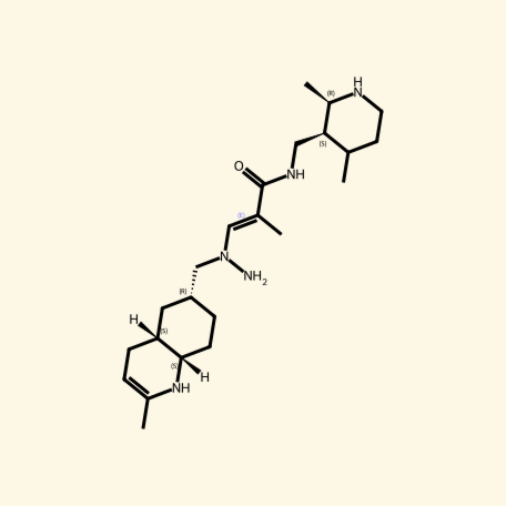 CC1=CC[C@@H]2C[C@H](CN(N)/C=C(\C)C(=O)NC[C@@H]3C(C)CCN[C@@H]3C)CC[C@@H]2N1